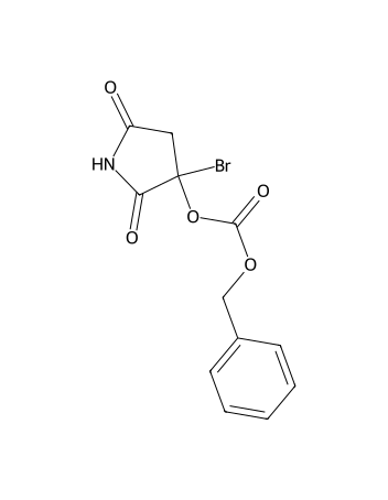 O=C1CC(Br)(OC(=O)OCc2ccccc2)C(=O)N1